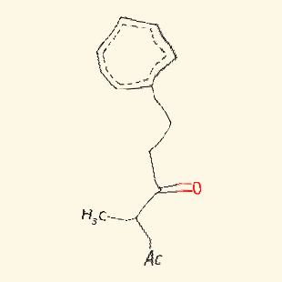 CC(=O)C(C)C(=O)CCc1ccccc1